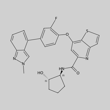 Cn1cc2c(-c3ccc(Oc4cc(C(=O)N[C@H]5CCC[C@@H]5O)nc5ccsc45)c(F)c3)cccc2n1